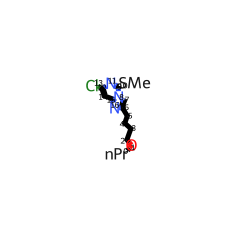 CCCOCCCCc1cn2c(SC)nc(Cl)cc2n1